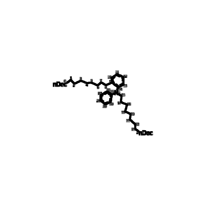 CCCCCCCCCCCCCCCCCCc1ccccc1N(CCCCCCCCCCCCCCCCCC)c1ccccc1